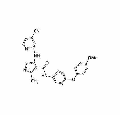 COc1ccc(Oc2ccc(NC(=O)c3c(C)nsc3Nc3cc(C#N)ccn3)cn2)cc1